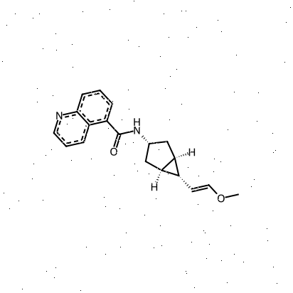 CO/C=C/[C@@H]1[C@H]2C[C@H](NC(=O)c3cccc4ncccc34)C[C@@H]12